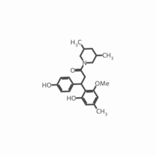 COc1cc(C)cc(O)c1C(CC(=O)N1CC(C)CC(C)C1)c1ccc(O)cc1